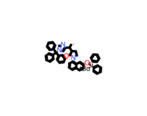 [CH2]C(c1cn(C(c2ccccc2)(c2ccccc2)c2ccccc2)cn1)C1CCN(c2cccc3ccc(O[Si](c4ccccc4)(c4ccccc4)C(C)(C)C)cc23)C1=O